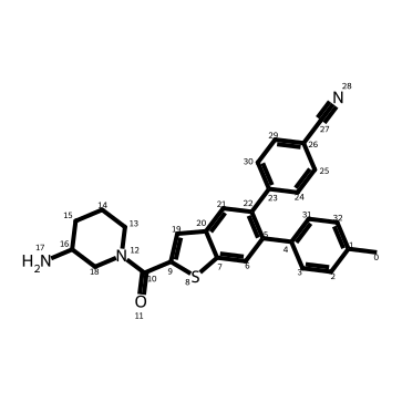 Cc1ccc(-c2cc3sc(C(=O)N4CCCC(N)C4)cc3cc2-c2ccc(C#N)cc2)cc1